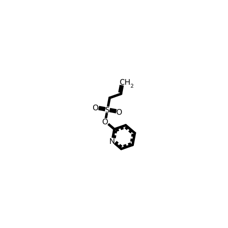 C=CCS(=O)(=O)Oc1ccccn1